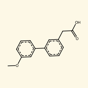 COc1cccc(-c2cccc(CC(=O)O)c2)c1